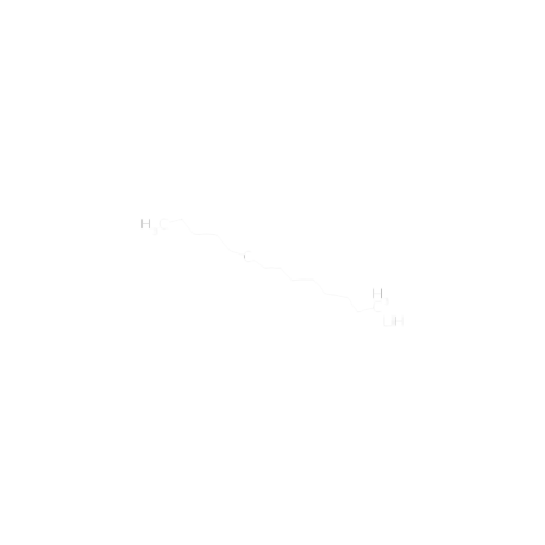 CCCCCCCCCCCCCC.[LiH]